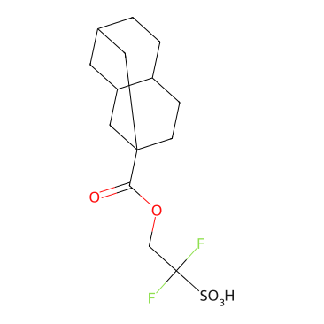 O=C(OCC(F)(F)S(=O)(=O)O)C12CCC3CCC(CC3C1)C2